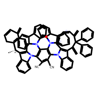 C=C1C=CCC2=C1C=Cc1c(c3ccccc3n1-c1c(C#N)c(C#N)c(-n3c4c(c5ccccc53)C(=C)C(c3ccccc3)(c3ccccc3)C(=C)/C=C\C=C/4)c(-n3c4ccccc4c4ccccc43)c1-n1c3ccccc3c3ccccc31)[C@@H]2C